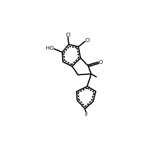 CC1(c2ccc(F)cc2)Cc2cc(O)c(Cl)c(Cl)c2C1=O